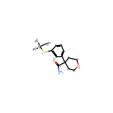 CC(C)[Si](Sc1cccc(C2(C(N)=O)CCOCC2)c1)(C(C)C)C(C)C